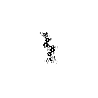 CC(C)(C)C(=O)Nc1cncc(-c2cc3c(-c4nc5c(-c6cc(F)cc(CNS(C)(=O)=O)c6)ccnc5[nH]4)n[nH]c3cc2F)c1